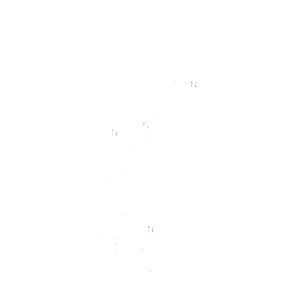 CC1=CC(n2cc(-c3ccc4c(c3)N(C)C(=O)C4(C)C)nc2C)=CCN1C